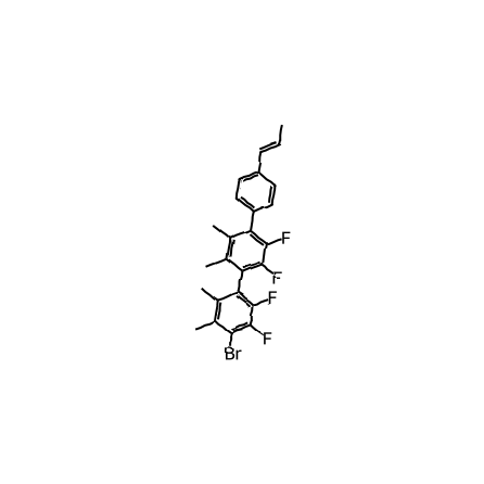 C/C=C/c1ccc(-c2c(C)c(C)c(-c3c(C)c(C)c(Br)c(F)c3F)c(F)c2F)cc1